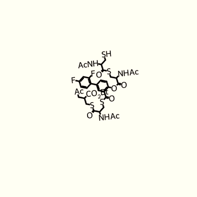 CCOC(=O)C(CSC(=O)C(CSC(=O)c1cc(-c2ccc(F)cc2F)ccc1OC(=O)C(CSC(=O)C(CS)NC(C)=O)NC(C)=O)NC(C)=O)CC(C)=O